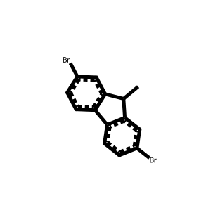 CC1c2cc(Br)ccc2-c2ccc(Br)cc21